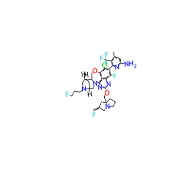 Cc1cc(N)nc(-c2c(Cl)c3c4c(nc(OC[C@@]56CCCN5C/C(=C\F)C6)nc4c2F)N2C[C@H]4CC[C@H](CN4CCCF)[C@H]2CO3)c1C(F)(F)F